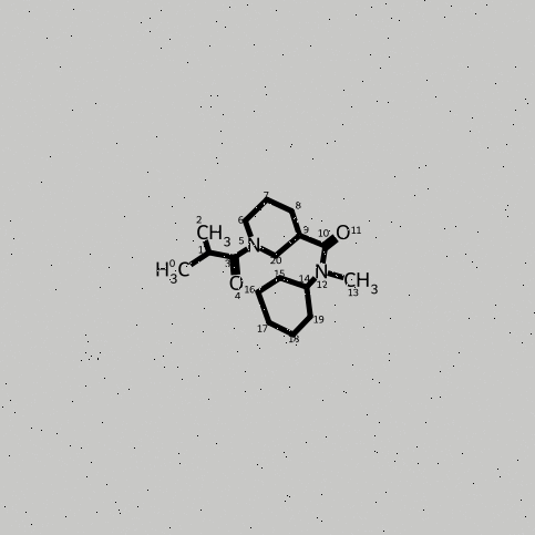 CC(C)C(=O)N1CCCC(C(=O)N(C)C2CCCCC2)C1